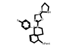 CCCCCC1CC=CC2=C1CCN(C1=NC[C@@H]([C@H]3CCCN3)O1)[C@H]2c1ccc(F)cc1